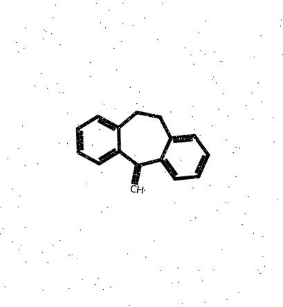 [CH]=C1c2ccccc2CCc2ccccc21